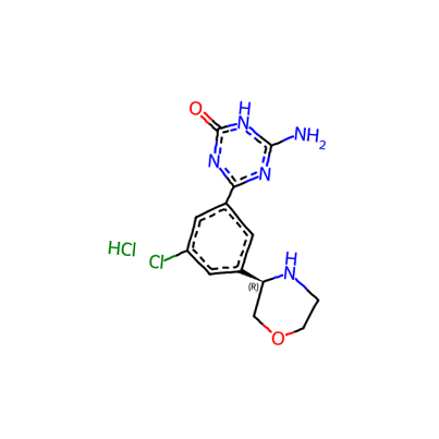 Cl.Nc1nc(-c2cc(Cl)cc([C@@H]3COCCN3)c2)nc(=O)[nH]1